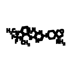 CN1c2cccc(Sc3ncc(N4CCC5(CC4)COC[C@H]5N)nc3N)c2N(C)C1(F)F